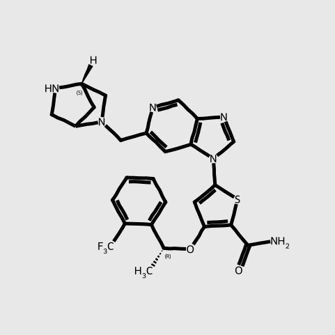 C[C@@H](Oc1cc(-n2cnc3cnc(CN4C[C@@H]5CC4CN5)cc32)sc1C(N)=O)c1ccccc1C(F)(F)F